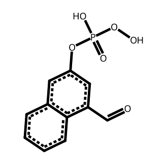 O=Cc1cc(OP(=O)(O)OO)cc2ccccc12